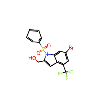 O=S(=O)(c1ccccc1)n1c(CO)cc2c(C(F)(F)F)cc(Br)cc21